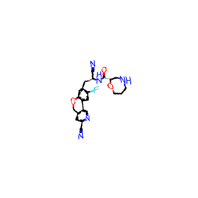 N#Cc1cc2c(cn1)-c1cc(F)c(C[C@@H](C#N)NC(=O)[C@@H]3CNCCCO3)cc1OC2